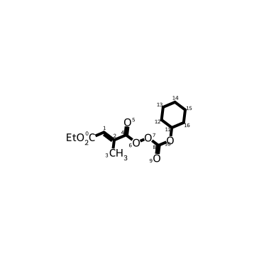 CCOC(=O)/C=C(\C)C(=O)OOC(=O)OC1CCCCC1